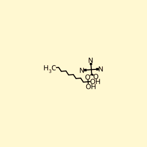 CCCCCCCCCC(O)(O)OC(=O)C(C#N)(C#N)C#N